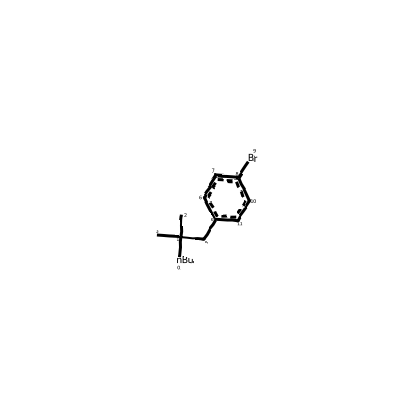 CCCCC(C)(C)Cc1ccc(Br)cc1